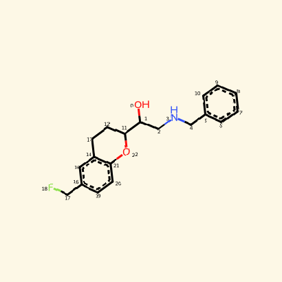 OC(CNCc1ccccc1)C1CCc2cc(CF)ccc2O1